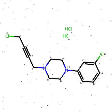 Cl.Cl.ClCC#CCN1CCN(c2cccc(Cl)c2)CC1